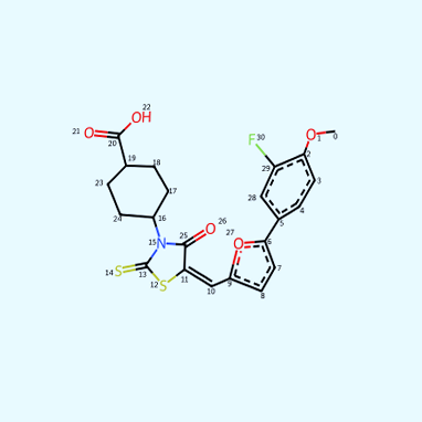 COc1ccc(-c2ccc(C=C3SC(=S)N(C4CCC(C(=O)O)CC4)C3=O)o2)cc1F